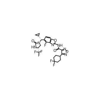 O=C(Nc1nc2c(F)c([C@@H](C3CC3)N3C[C@H](C(F)(F)F)NC3=O)ccc2o1)c1nonc1C1CCC(F)(F)CC1